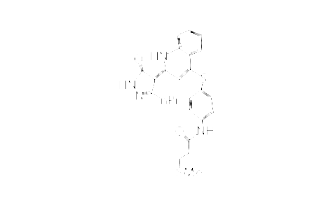 CCCC1=NNC(=O)/C1=C1/C=C(Sc2ccc(NC(=O)CCSC)cc2)c2ccccc2N1